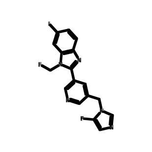 FCn1c(-c2cncc(Cn3cncc3F)c2)nc2ccc(I)cc21